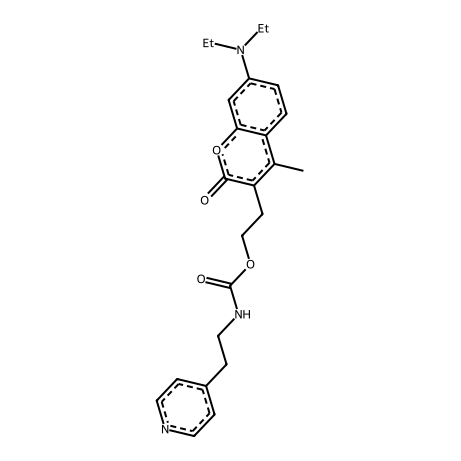 CCN(CC)c1ccc2c(C)c(CCOC(=O)NCCc3ccncc3)c(=O)oc2c1